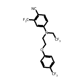 N#Cc1ccc(N(CCOc2ccc(C(F)(F)F)cc2)CC(F)(F)F)cc1C(F)(F)F